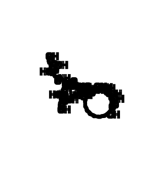 CC1OC(O[C@H]2/C=C/C=C/C=C/C=C/C=C/C=C/C=C/[C@H](C)[C@@H](O)[C@@H](C)[C@H](C)OC(=O)C[C@H](O)C[C@H](O)CC[C@@H](O)[C@H](O)C[C@H](O)C[C@]3(O)C[C@H](O)[C@@H](C(=O)NCCCCNC(=O)C(CCCCNC(=O)CC[C@@H](C)C4CCC5C6C(O)CC7CC(O)CCC7(C)C6CC(O)C54C)NC(=O)CC[C@@H](C)C4CCC5C6C(O)CC7CC(O)CCC7(C)C6CC(O)C54C)[C@H](C2)O3)C(O)C(N)C1O